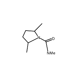 CNC(=O)N1C(C)CCC1C